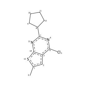 Cc1cc2c(Cl)nc(C3CCCC3)nc2s1